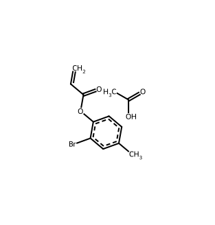 C=CC(=O)Oc1ccc(C)cc1Br.CC(=O)O